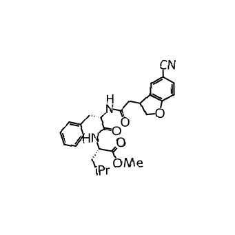 COC(=O)[C@H](CC(C)C)NC(=O)[C@H](Cc1ccccc1)NC(=O)CC1COc2ccc(C#N)cc21